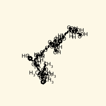 CCCC(=O)OCN(C(=O)[C@@H](NC(=O)[C@H]1CCCCN1C)C(C)CC)[C@H](CCc1nc(C(=O)N[C@@H](Cc2ccc(O)cc2)C[C@H](C)C(=O)NNC(=O)OCCSSCCNC(=O)[C@H](CC(=O)O)NC(=O)[C@H](CC(=O)O)NC(=O)Cc2ccc(NC(=O)NCCCC[C@H](NC(=O)N[C@@H](CCC(=O)O)C(=O)O)C(=O)O)cc2)cs1)C(C)C